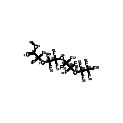 COC(=O)C(F)(F)OC(F)(F)C(F)(F)OC(F)(F)C(F)(F)OC(F)(F)C(F)(F)F